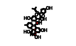 CC(C)=CC[C@]12Oc3cc(O)c([C@H]4C=C(C)C[C@H](c5ccc(O)cc5O)[C@H]4C(=O)c4cc(O)cc(O)c4)c(O)c3C(=O)[C@@]1(O)Oc1cc(O)ccc12